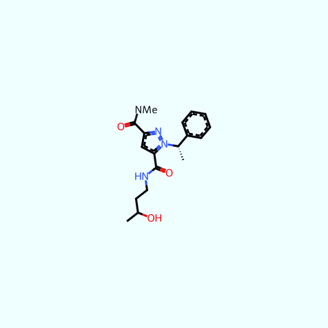 CNC(=O)c1cc(C(=O)NCCC(C)O)n([C@@H](C)c2ccccc2)n1